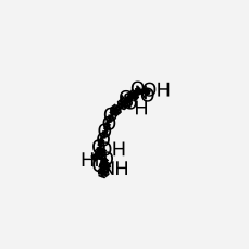 CC(C)(C)c1cc(OCCOCCOCCOCCOc2ccc(C3CCN(S(=O)(=O)c4ccc(C(=O)NCC(=O)O)cc4)CC3)cc2)c(O)cc1NC(=O)c1c[nH]c2ccccc2c1=O